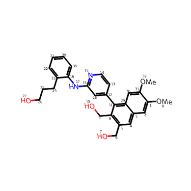 COc1cc2cc(CO)c(CO)c(-c3ccnc(Nc4ccccc4CCCO)c3)c2cc1OC